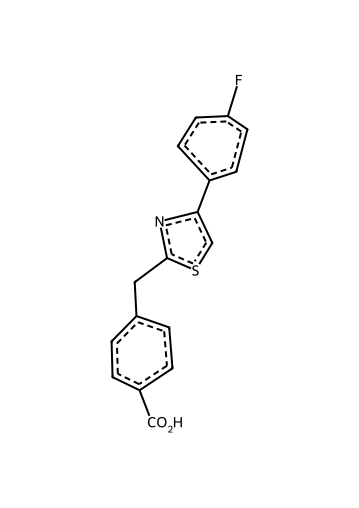 O=C(O)c1ccc(Cc2nc(-c3ccc(F)cc3)cs2)cc1